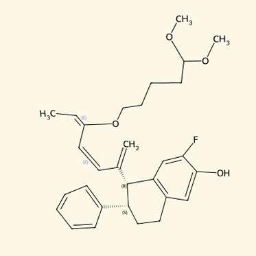 C=C(/C=C\C(=C/C)OCCCCC(OC)OC)[C@@H]1c2cc(F)c(O)cc2CC[C@@H]1c1ccccc1